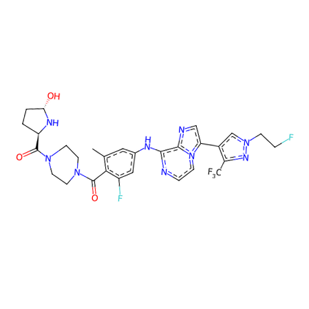 Cc1cc(Nc2nccn3c(-c4cn(CCF)nc4C(F)(F)F)cnc23)cc(F)c1C(=O)N1CCN(C(=O)[C@H]2CC[C@H](O)N2)CC1